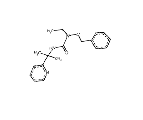 CCN(OCc1ccccc1)C(=O)NC(C)(C)c1ccccn1